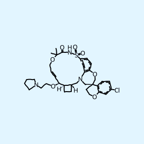 CC1(C)OC/C=C/[C@H](OCCN2CCCC2)[C@@H]2CC[C@H]2CN2C[C@@]3(CCOc4cc(Cl)ccc43)COc3ccc(cc32)S(=O)(=O)NC1=O